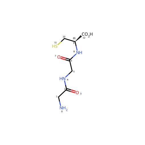 NCC(=O)NCC(=O)N[C@@H](CS)C(=O)O